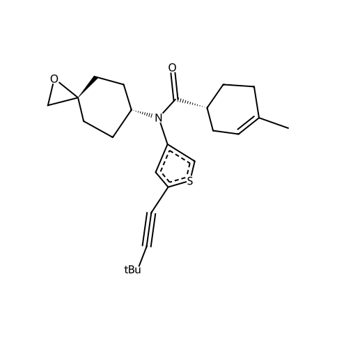 CC1=CC[C@H](C(=O)N(c2csc(C#CC(C)(C)C)c2)[C@H]2CC[C@@]3(CC2)CO3)CC1